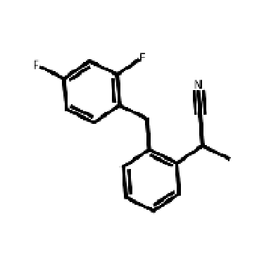 CC(C#N)c1ccc[c]c1Cc1ccc(F)cc1F